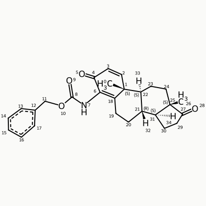 C[C@]12C=CC(=O)C(NC(=O)OCc3ccccc3)=C1CC[C@@H]1[C@@H]2CC[C@]2(C)C(=O)CC[C@@H]12